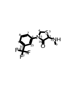 CNC1SCN(c2cccc(C(F)(F)F)c2)C1=O